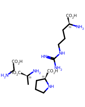 C[C@H](N)C(=O)O.N=C(N)NCCC[C@H](N)C(=O)O.NCC(=O)O.O=C(O)[C@@H]1CCCN1